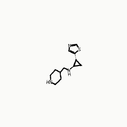 c1ncc([C@@H]2C[C@H]2NCC2CCNCC2)s1